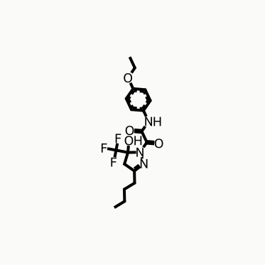 CCCCC1=NN(C(=O)C(=O)Nc2ccc(OCC)cc2)C(O)(C(F)(F)F)C1